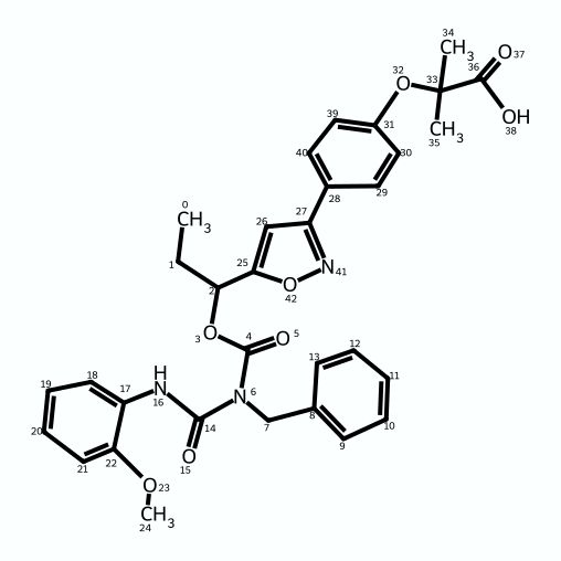 CCC(OC(=O)N(Cc1ccccc1)C(=O)Nc1ccccc1OC)c1cc(-c2ccc(OC(C)(C)C(=O)O)cc2)no1